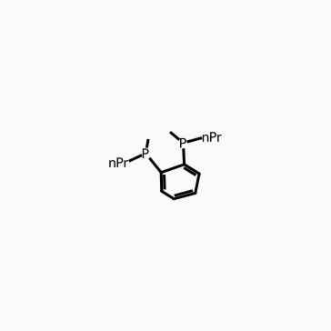 CCCP(C)c1ccccc1P(C)CCC